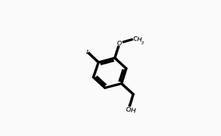 COc1cc(CO)ccc1I